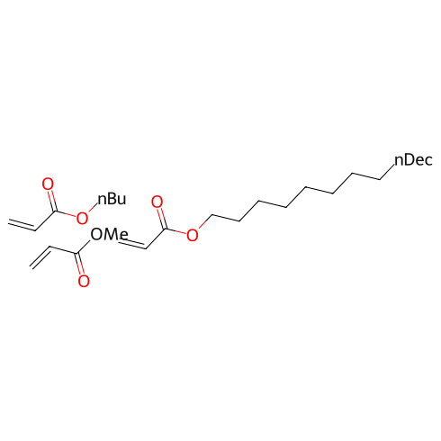 C=CC(=O)OC.C=CC(=O)OCCCC.C=CC(=O)OCCCCCCCCCCCCCCCCCC